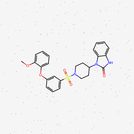 COc1ccccc1Oc1cccc(S(=O)(=O)N2CCC(n3c(=O)[nH]c4ccccc43)CC2)c1